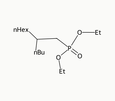 CCCCCCC(CCCC)CP(=O)(OCC)OCC